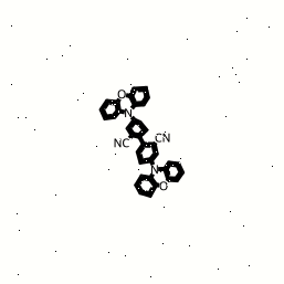 N#Cc1cc(N2c3ccccc3Oc3ccccc32)ccc1-c1ccc(N2c3ccccc3Oc3ccccc32)cc1C#N